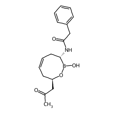 CC(=O)C[C@H]1C/C=C\C[C@H](NC(=O)Cc2ccccc2)B(O)O1